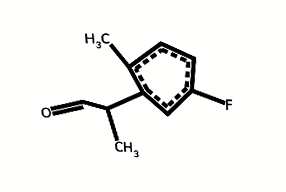 Cc1ccc(F)cc1C(C)C=O